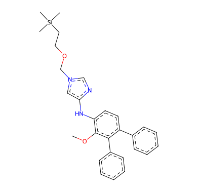 COc1c(Nc2cn(COCC[Si](C)(C)C)cn2)ccc(-c2ccccc2)c1-c1ccccc1